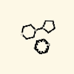 C1CCN(N2CCOCC2)C1.c1ccncc1